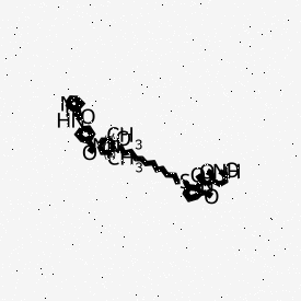 C[C@@H]1CN(C(=O)c2ccc(NC(=O)c3cccnn3)cc2)C[C@H](C)N1C(=O)CCCCCCCCCCCSc1cccc2c1C(=O)N(C1CCC(=O)NC1=O)C2=O